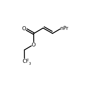 CCCC=CC(=O)OCC(F)(F)F